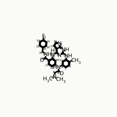 Cc1ccc(NC(=O)CN(C)C)cc1Nc1nc(Nc2ccccc2C(=O)NCc2ccc(F)cc2)c2ccnc-2[nH]1